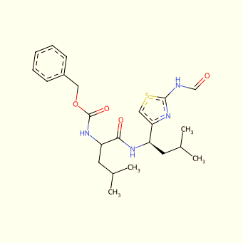 CC(C)CC(NC(=O)OCc1ccccc1)C(=O)N[C@H](CC(C)C)c1csc(NC=O)n1